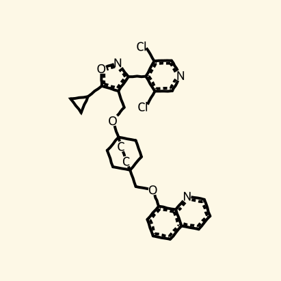 Clc1cncc(Cl)c1-c1noc(C2CC2)c1COC12CCC(COc3cccc4cccnc34)(CC1)CC2